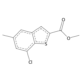 COC(=O)c1cc2cc(C)cc(Cl)c2s1